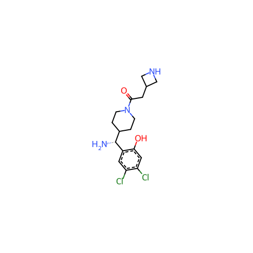 N[C@@H](c1cc(Cl)c(Cl)cc1O)C1CCN(C(=O)CC2CNC2)CC1